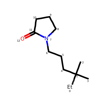 CCC(C)(C)CCCN1CCCC1=O